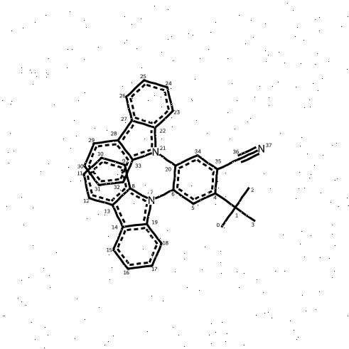 CC(C)(C)c1cc(-n2c3ccccc3c3ccccc32)c(-n2c3ccccc3c3ccccc32)cc1C#N